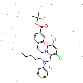 CCCCCN(Cc1c(Cl)cc(Cl)c(=O)n1CCc1ccc(C(=O)OC(C)(C)C)cc1)c1ccccc1